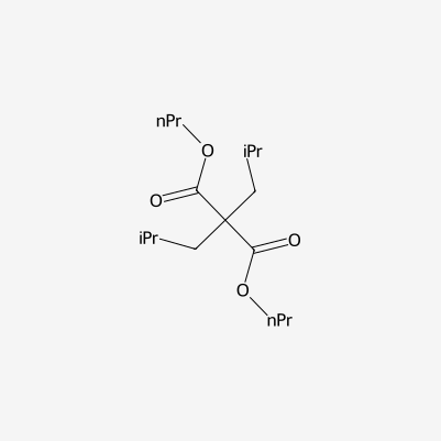 CCCOC(=O)C(CC(C)C)(CC(C)C)C(=O)OCCC